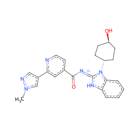 Cn1cc(-c2cc(C(=O)/N=c3\[nH]c4ccccc4n3[C@H]3CC[C@H](O)CC3)ccn2)cn1